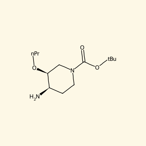 CCCO[C@H]1CN(C(=O)OC(C)(C)C)CC[C@H]1N